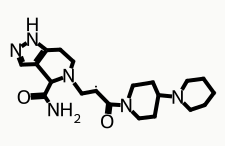 NC(=O)C1c2cn[nH]c2CCN1C[CH]C(=O)N1CCC(N2CCCCC2)CC1